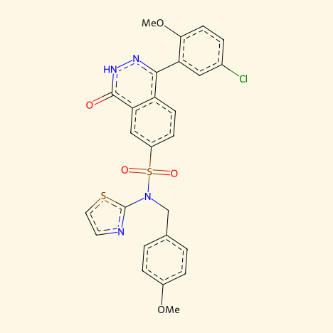 COc1ccc(CN(c2nccs2)S(=O)(=O)c2ccc3c(-c4cc(Cl)ccc4OC)n[nH]c(=O)c3c2)cc1